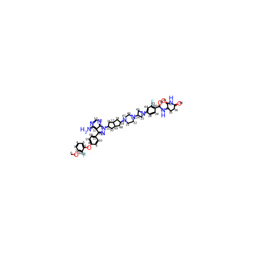 COc1cccc(Oc2ccc(-c3nn(C4CC5CC(N6CCN(C7CN(c8ccc(C(=O)NC9CCC(=O)NC9=O)c(F)c8)C7)CC6)CC5C4)c4ncnc(N)c34)cc2)c1F